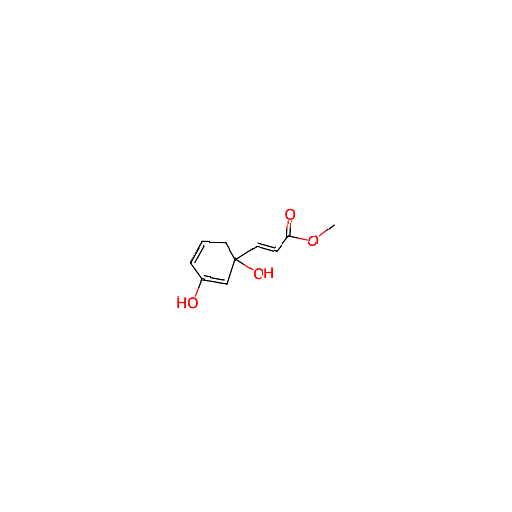 COC(=O)C=CC1(O)C=C(O)C=CC1